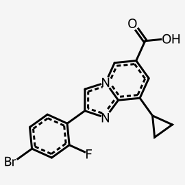 O=C(O)c1cc(C2CC2)c2nc(-c3ccc(Br)cc3F)cn2c1